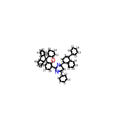 c1ccc(-c2cc(-c3ccc(-c4ccccc4)c4ccccc34)nc(-c3cccc4c3Oc3ccccc3C43c4ccccc4-c4ccccc43)n2)cc1